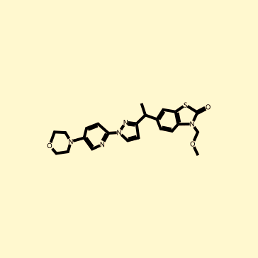 COCn1c(=O)sc2cc(C(C)c3ccn(-c4ccc(N5CCOCC5)cn4)n3)ccc21